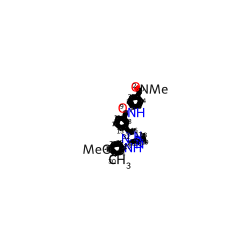 CNC(=O)c1ccc(NC(=O)c2cccc(-c3cn4ccnc4c(Nc4ccc(OC)c(C)c4)n3)c2)cc1